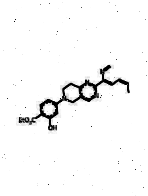 C=N/C(=C\C=C/C)c1ncc2c(n1)CCN(c1ccc(C(=O)OCC)c(O)c1)C2